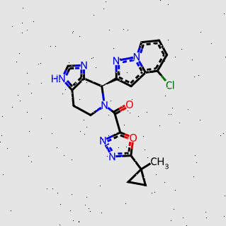 CC1(c2nnc(C(=O)N3CCc4[nH]cnc4[C@H]3c3cc4c(Cl)cccn4n3)o2)CC1